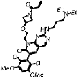 C=CC(=O)N1CC(OCCn2c(=O)c(-c3c(Cl)c(OC)cc(OC)c3Cl)cc3cnc(NCCCN(CC)CC)nc32)C1